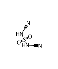 N#CNS(=O)(=O)NC#N